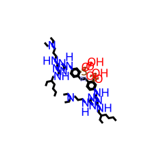 CCCCC(CC)CNc1nc(NCCCN(CC)CC)nc(Nc2ccc(/C=C/c3ccc(Nc4nc(NCCCN(CC)CC)nc(NCC(CC)CCCC)n4)cc3S(=O)(=O)O)c(SOOO)c2)n1